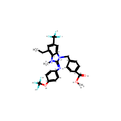 CCc1cc(C(F)(F)F)cc2c1n(C)c(=Nc1ccc(OC(F)(F)F)cc1)n2Cc1ccc(C(=O)OC)cc1